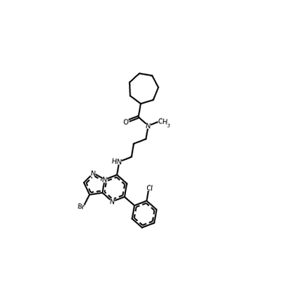 CN(CCCNc1cc(-c2ccccc2Cl)nc2c(Br)cnn12)C(=O)C1CCCCCC1